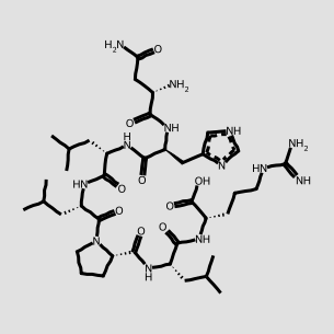 CC(C)C[C@H](NC(=O)[C@H](Cc1c[nH]cn1)NC(=O)[C@@H](N)CC(N)=O)C(=O)N[C@@H](CC(C)C)C(=O)N1CCC[C@H]1C(=O)N[C@@H](CC(C)C)C(=O)N[C@@H](CCCNC(=N)N)C(=O)O